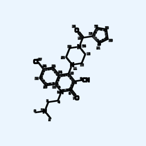 CN(C)CCn1c(=O)c(C#N)c(N2CCN(C(=O)c3cccs3)CC2)c2cc(Cl)ccc21